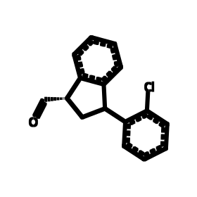 O=C[C@H]1CC(c2ccccc2Cl)c2ccccc21